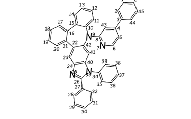 c1ccc(-c2ccnc(N3c4ccccc4-c4ccccc4-c4cc5nc(-c6ccccc6)n(-c6ccccc6)c5cc43)c2)cc1